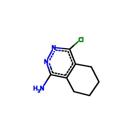 Nc1nnc(Cl)c2c1CCCC2